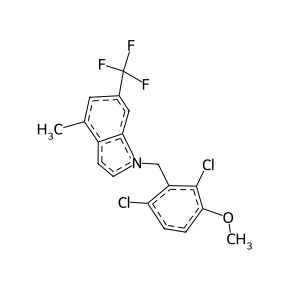 COc1ccc(Cl)c(Cn2ccc3c(C)cc(C(F)(F)F)cc32)c1Cl